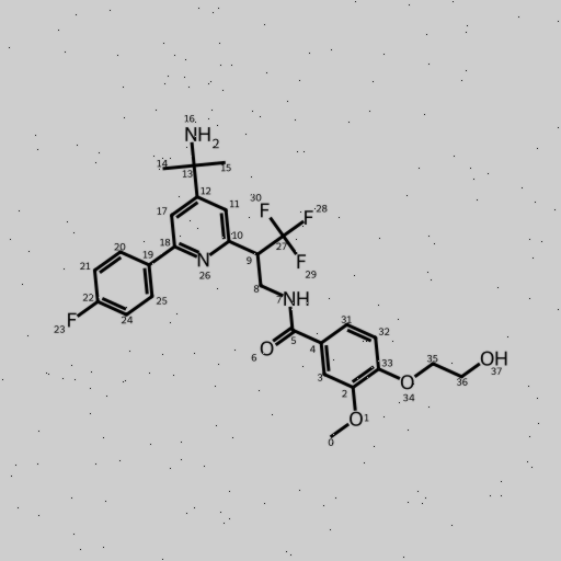 COc1cc(C(=O)NCC(c2cc(C(C)(C)N)cc(-c3ccc(F)cc3)n2)C(F)(F)F)ccc1OCCO